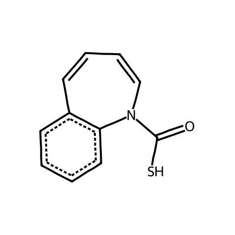 O=C(S)N1C=CC=Cc2ccccc21